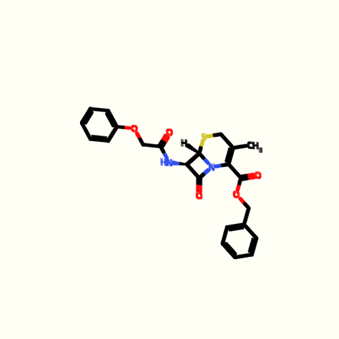 CC1=C(C(=O)OCc2ccccc2)N2C(=O)[C@@H](NC(=O)COc3ccccc3)[C@@H]2SC1